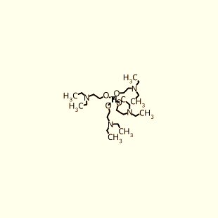 CCN(CC)CC[O][Ti]([O]CCN(CC)CC)([O]CCN(CC)CC)[O]CCN(CC)CC